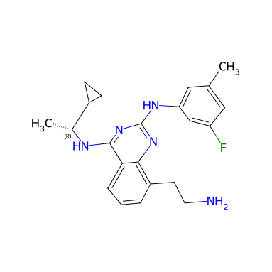 Cc1cc(F)cc(Nc2nc(N[C@H](C)C3CC3)c3cccc(CCN)c3n2)c1